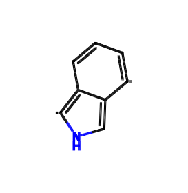 [c]1[nH]cc2[c]cccc12